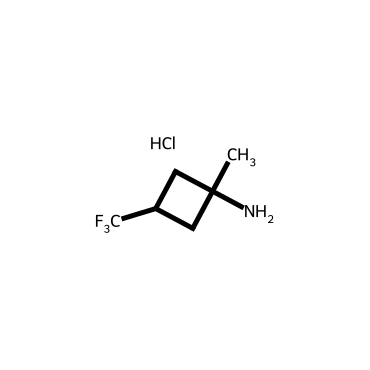 CC1(N)CC(C(F)(F)F)C1.Cl